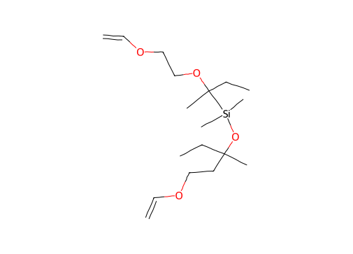 C=COCCOC(C)(CC)[Si](C)(C)OC(C)(CC)CCOC=C